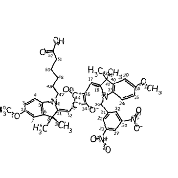 COc1ccc2c(c1)C(C)(C)C(=C[c+]1c([O-])c(C=C3N(Cc4cc([N+](=O)[O-])cc([N+](=O)[O-])c4)c4ccc(OC)cc4C3(C)C)[c+]1[O-])N2CCCCCC(=O)O